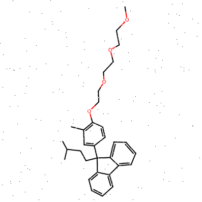 COCCOCCOCCOc1ccc(C2(CCC(C)C)c3ccccc3-c3ccccc32)cc1C